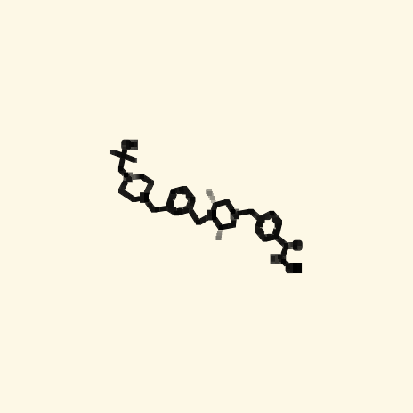 C[C@@H]1CN(Cc2ccc(C(=O)NO)cc2)C[C@H](C)N1Cc1cccc(CN2CCN(CC(C)(C)O)CC2)c1